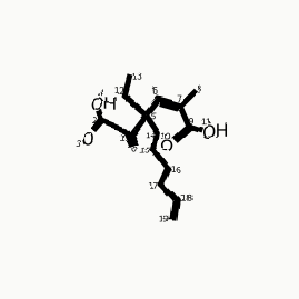 C=C(C(=O)O)C(C=C(C)C(=O)O)(CC)CCCCCC